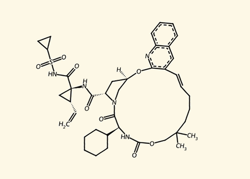 C=C[C@@H]1C[C@]1(NC(=O)[C@@H]1C[C@@H]2CN1C(=O)[C@H](C1CCCCC1)NC(=O)OCC(C)(C)CCC/C=C/c1cc3ccccc3nc1O2)C(=O)NS(=O)(=O)C1CC1